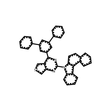 c1ccc(-c2cc(-c3ccccc3)cc(-c3nc(-n4c5ccccc5c5c6ccccc6ccc54)nc4cscc34)c2)cc1